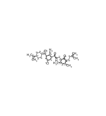 CCN(c1cc(Cl)cc(C(=O)NCc2c(C)cc(C)n(CCN(C)C)c2=O)c1C)C1CCC(N(C)C)CC1